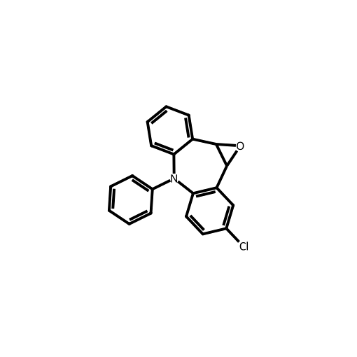 Clc1ccc2c(c1)C1OC1c1ccccc1N2c1ccccc1